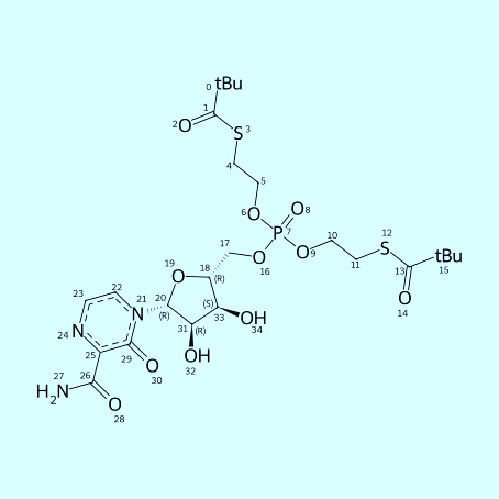 CC(C)(C)C(=O)SCCOP(=O)(OCCSC(=O)C(C)(C)C)OC[C@H]1O[C@@H](n2ccnc(C(N)=O)c2=O)[C@H](O)[C@@H]1O